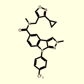 CN(Cc1conc1C1CC1)C(=O)c1ccc2c(c1)c1cn(C)nc1n2-c1ccc(C(F)(F)F)cc1